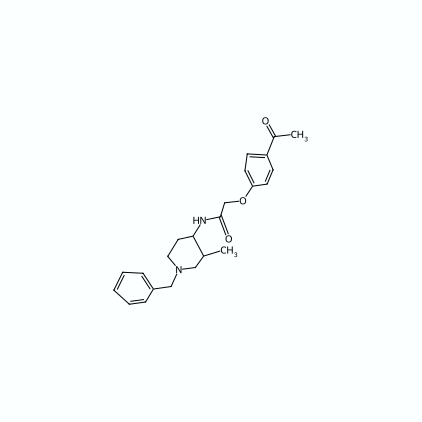 CC(=O)c1ccc(OCC(=O)NC2CCN(Cc3ccccc3)CC2C)cc1